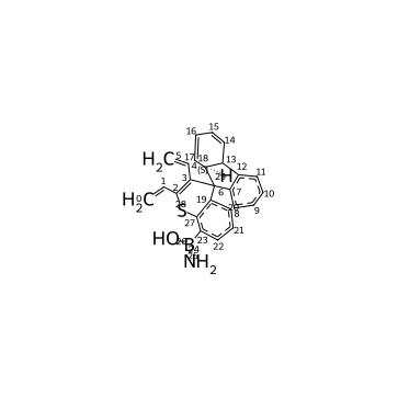 C=CC1=C(C=C)C2(c3ccccc3C3C=CC=C[C@@H]32)c2cccc(B(N)O)c2S1